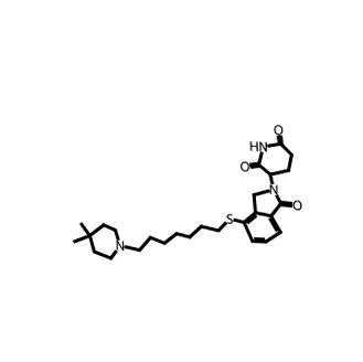 CC1(C)CCN(CCCCCCCSc2cccc3c2CN(C2CCC(=O)NC2=O)C3=O)CC1